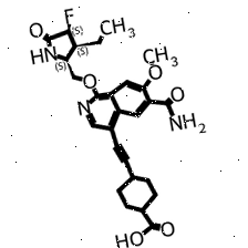 CC[C@@H]1[C@H](F)C(=O)N[C@@H]1COc1ncc(C#CC2CCC(C(=O)O)CC2)c2cc(C(N)=O)c(OC)cc12